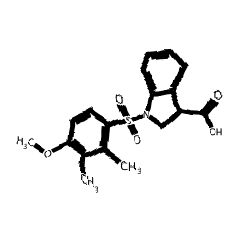 COc1ccc(S(=O)(=O)N2CC(C(=O)O)c3ccccc32)c(C)c1C